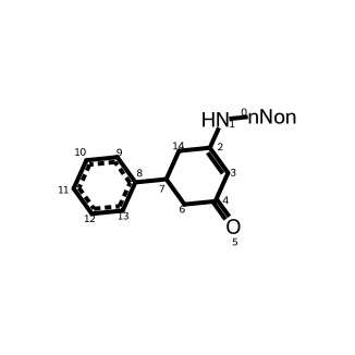 CCCCCCCCCNC1=CC(=O)CC(c2ccccc2)C1